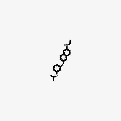 CCNc1ccc2cc(Oc3cccc(OC(C)C)c3)ccc2c1